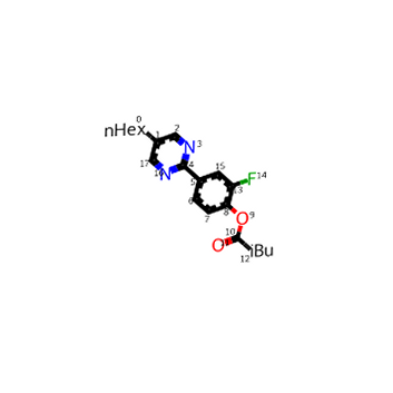 CCCCCCc1cnc(-c2ccc(OC(=O)C(C)CC)c(F)c2)nc1